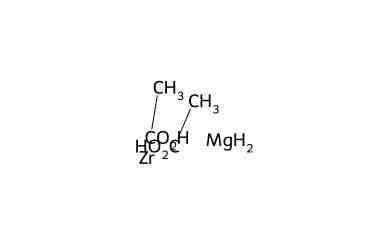 CC(=O)O.CC(=O)O.[MgH2].[Zr]